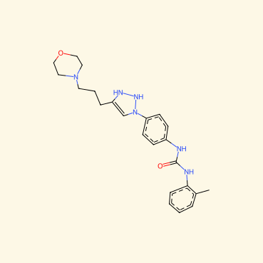 Cc1ccccc1NC(=O)Nc1ccc(N2C=C(CCCN3CCOCC3)NN2)cc1